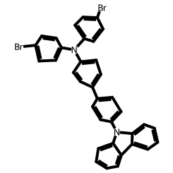 Brc1ccc(N(c2ccc(Br)cc2)c2ccc(-c3ccc(-n4c5ccccc5c5ccccc54)cc3)cc2)cc1